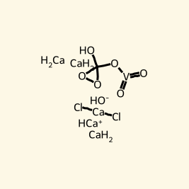 [CaH+].[CaH2].[CaH2].[CaH2].[Cl][Ca][Cl].[OH-].[O]=[V](=[O])[O]C1(O)OO1